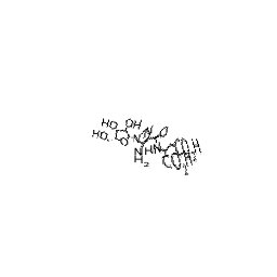 Nc1c(C(=O)NC(CC(=O)O)C(=O)O)ncn1[C@@H]1O[C@H](CO)[C@H](O)C1O